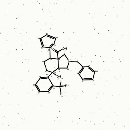 O=C(O)C12CN(Cc3ccccc3)CC1C(O)(c1ccccc1C(F)(F)F)CCC2c1ccccc1